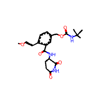 CO/C=C/c1ccc(COC(=O)NC(C)(C)C)cc1C(=O)NC1CCC(=O)NC1=O